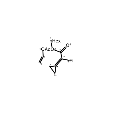 C=COC(C)=O.CCCCCCOC(=O)C(CC)=C1CC1